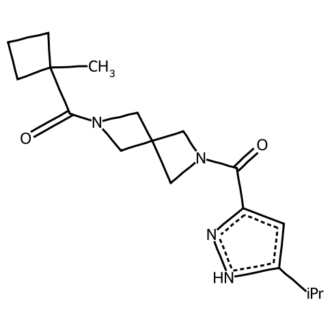 CC(C)c1cc(C(=O)N2CC3(C2)CN(C(=O)C2(C)CCC2)C3)n[nH]1